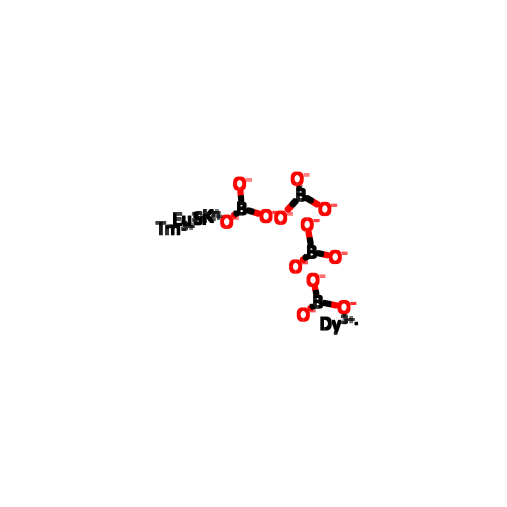 [Dy+3].[Eu+3].[K+].[O-]B([O-])[O-].[O-]B([O-])[O-].[O-]B([O-])[O-].[O-]B([O-])[O-].[Sr+2].[Tm+3]